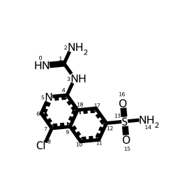 N=C(N)Nc1ncc(Cl)c2ccc(S(N)(=O)=O)cc12